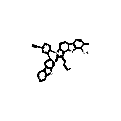 C#Cc1ccc(-n2c3c(/c(=C/C=C\C)c2=C)C2OC4=C(C=CC(C)C4N)C2C=C3)c(-c2ccc3oc4ccccc4c3c2)c1